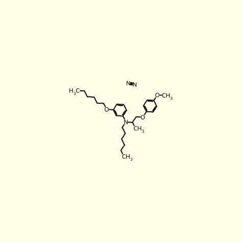 CCCCCCOc1cccc(N(CCCCCC)C(C)COc2ccc(OC)cc2)c1.N#N